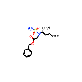 NS(=O)(=O)N(CC(=O)OCc1ccccc1)[C@@H](CCC(=O)O)C(=O)O